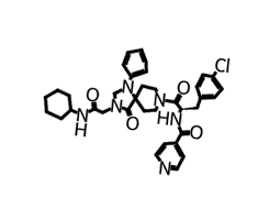 O=C(CN1CN(c2ccccc2)C2(CCN(C(=O)[C@@H](Cc3ccc(Cl)cc3)NC(=O)c3ccncc3)CC2)C1=O)NC1CCCCC1